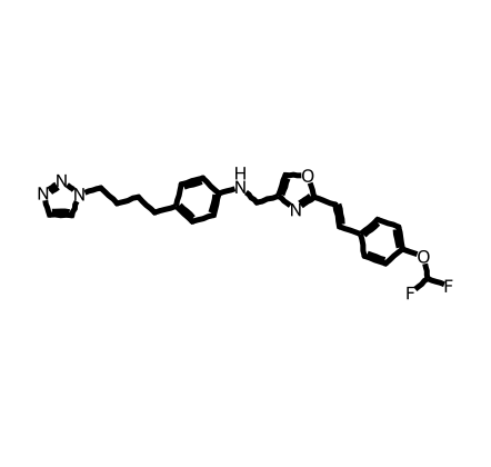 FC(F)Oc1ccc(/C=C/c2nc(CNc3ccc(CCCCn4ccnn4)cc3)co2)cc1